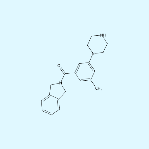 Cc1cc(C(=O)N2Cc3ccccc3C2)cc(N2CCNCC2)c1